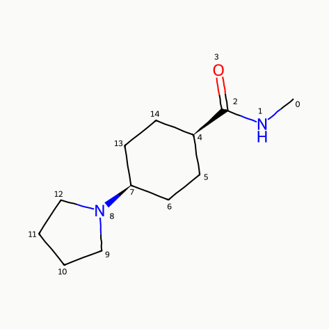 CNC(=O)[C@H]1CC[C@@H](N2CCCC2)CC1